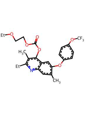 CCOCCOC(=O)Oc1c(C)c(CC)nc2cc(C)c(Oc3ccc(OC(F)(F)F)cc3)cc12